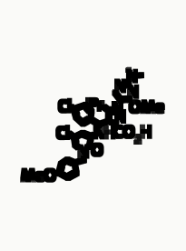 COc1ccc(Cn2cc(Cl)cc(NC(c3ccc(Cl)cc3)c3c(C(=O)O)nn(-c4cnc(N(C)C)nc4OC)c3C(C)C)c2=O)cc1